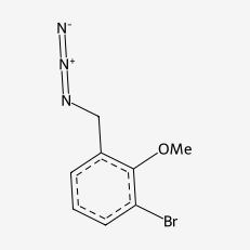 COc1c(Br)cccc1CN=[N+]=[N-]